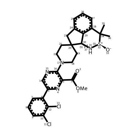 COC(=O)c1nc(-c2cccc(Cl)c2Cl)cnc1N1CCC2(CC1)Cc1cccc3c1[C@H]2N[S@+]([O-])C3(C)C